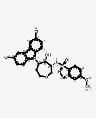 CCCN=S(=O)(N[C@@H]1COCC[C@@H](n2c3ccc(Cl)cc3c3cc(Cl)ccc32)[C@H]1O)c1ccc(OC(F)(F)F)cc1